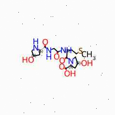 CSCC[C@H](NC(=O)CNC(=O)[C@@H]1C[C@@H](O)CN1)C(=O)N1C[C@H](O)C[C@H]1C(=O)O